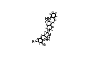 O=C(O)C(Cc1cc(Br)cc(Br)c1)OC(=O)N1CCC(N2CCc3ccccc3NC2=O)CC1